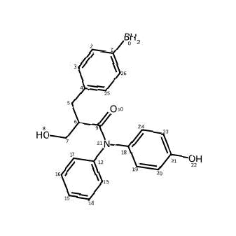 Bc1ccc(CC(CO)C(=O)N(c2ccccc2)c2ccc(O)cc2)cc1